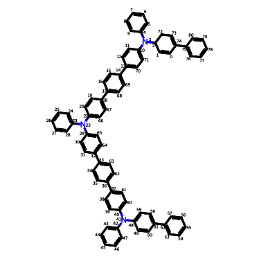 C1=CC(N(c2ccccc2)c2ccc(-c3ccc(-c4ccc(N(c5ccccc5)c5ccc(-c6ccc(-c7ccc(N(c8ccccc8)c8ccc(-c9ccccc9)cc8)cc7)cc6)cc5)cc4)cc3)cc2)CC=C1c1ccccc1